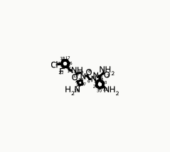 NC(=O)c1nn(CC(=O)N(CC(=O)NCc2cccc(Cl)c2F)C2CC(N)C2)c2ccc(N)cc12